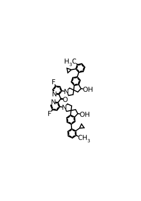 Cc1cccc(-c2ccc3c(c2)C(O)CC32CCN(c3cc(F)cnc3C(=O)c3ncc(F)cc3N3CCC4(CC(O)c5cc(-c6cccc(C)c6C6CC6)ccc54)C3)C2)c1C1CC1